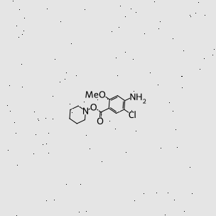 COc1cc(N)c(Cl)cc1C(=O)ON1CCCCC1